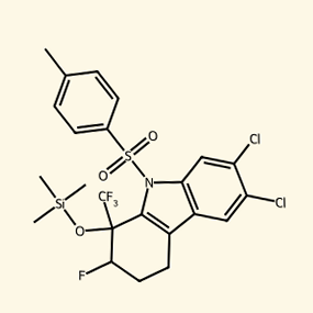 Cc1ccc(S(=O)(=O)n2c3c(c4cc(Cl)c(Cl)cc42)CCC(F)C3(O[Si](C)(C)C)C(F)(F)F)cc1